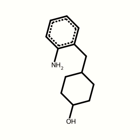 Nc1ccccc1CC1CCC(O)CC1